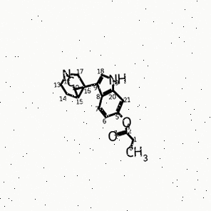 CCC(=O)Oc1ccc2c(C3CN4CCC3CC4)c[nH]c2c1